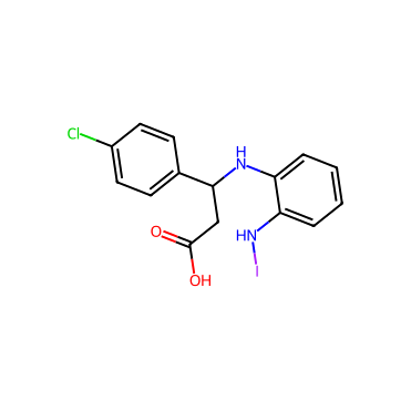 O=C(O)CC(Nc1ccccc1NI)c1ccc(Cl)cc1